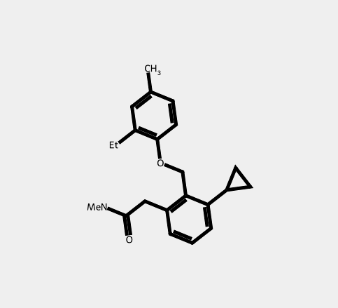 CCc1cc(C)ccc1OCc1c(CC(=O)NC)cccc1C1CC1